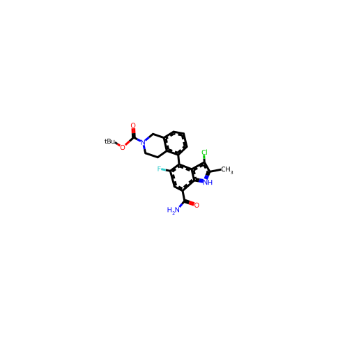 Cc1[nH]c2c(C(N)=O)cc(F)c(-c3cccc4c3CCN(C(=O)OC(C)(C)C)C4)c2c1Cl